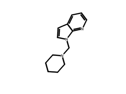 c1cnc2c(c1)ccn2CN1CCCCC1